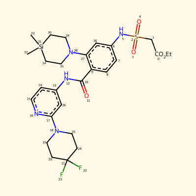 CCOC(=O)CS(=O)(=O)Nc1ccc(C(=O)Nc2ccnc(N3CCC(F)(F)CC3)c2)c(N2CC[Si](C)(C)CC2)c1